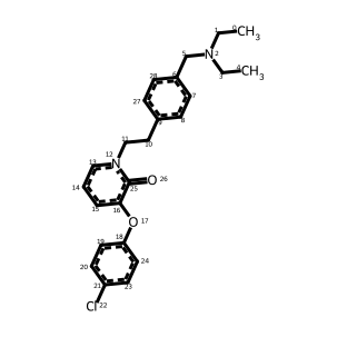 CCN(CC)Cc1ccc(CCn2cccc(Oc3ccc(Cl)cc3)c2=O)cc1